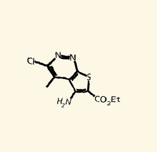 CCOC(=O)c1sc2nnc(Cl)c(C)c2c1N